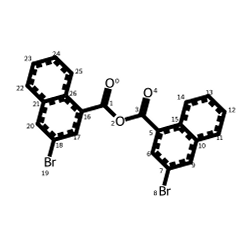 O=C(OC(=O)c1cc(Br)cc2ccccc12)c1cc(Br)cc2ccccc12